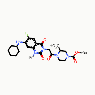 CC(C)n1c(=O)n(CC(=O)N2CCN(C(=O)OC(C)(C)C)CC2C(=O)O)c(=O)c2cc(F)c(NC3CCCCC3)cc21